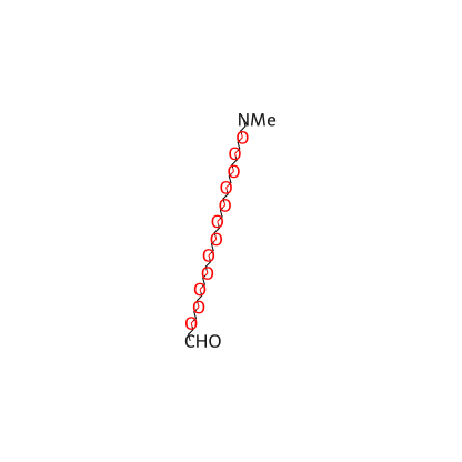 CNCCOCCOCCOCCOCCOCCOCCOCCOCCOCCOCCOCCOCCC=O